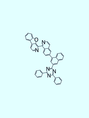 c1ccc(-c2nc(-c3ccccc3)nc(-c3cc(-c4ccc5c(-c6nccc7c6oc6ccccc67)nccc5c4)c4ccccc4c3)n2)cc1